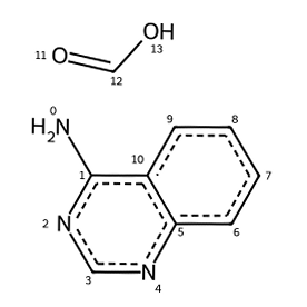 Nc1ncnc2ccccc12.O=CO